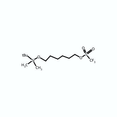 CC(C)(C)[Si](C)(C)OCCCCCCOS(=O)(=O)C(F)(F)F